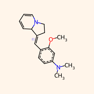 COc1cc(N(C)C)ccc1/C=C1\CCN2C=CC=CC12